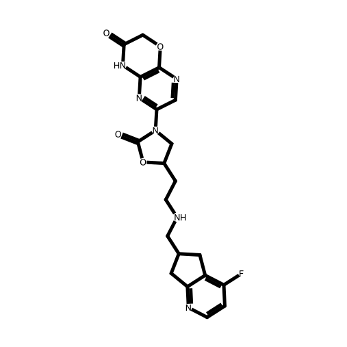 O=C1COc2ncc(N3CC(CCNCC4Cc5nccc(F)c5C4)OC3=O)nc2N1